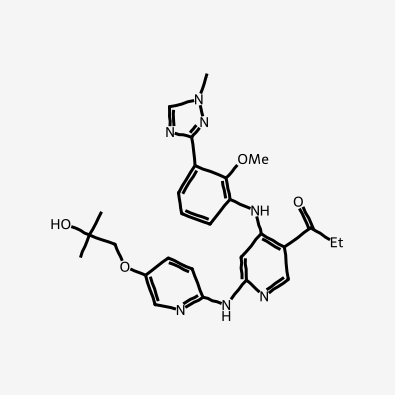 CCC(=O)c1cnc(Nc2ccc(OCC(C)(C)O)cn2)cc1Nc1cccc(-c2ncn(C)n2)c1OC